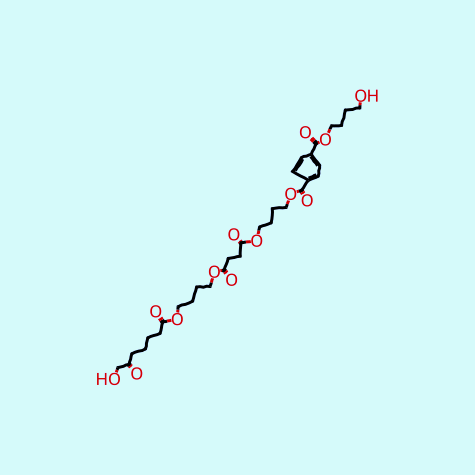 O=C(CO)CCCCC(=O)OCCCCOC(=O)CCC(=O)OCCCCOC(=O)c1ccc(C(=O)OCCCCO)cc1